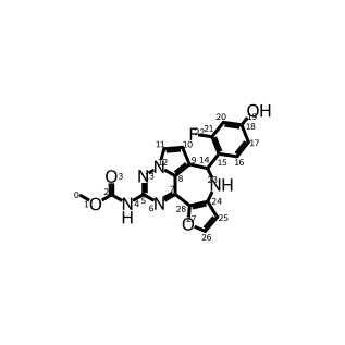 COC(=O)Nc1nc2c3c(ccn3n1)C(c1ccc(O)cc1F)Nc1ccoc1-2